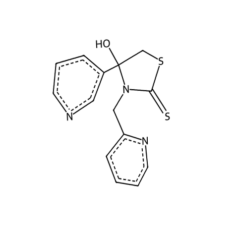 OC1(c2cccnc2)CSC(=S)N1Cc1ccccn1